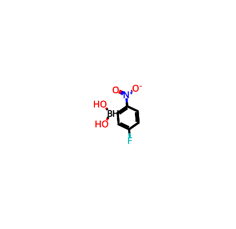 O=[N+]([O-])c1ccc(F)cc1.OBO